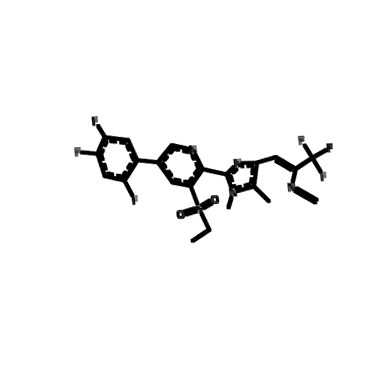 C=N/C(=C\c1nc(-c2ncc(-c3cc(F)c(F)cc3F)cc2S(=O)(=O)CC)n(C)c1C)C(F)(F)F